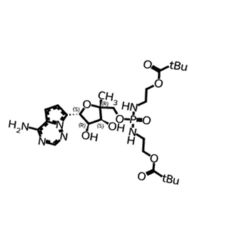 CC(C)(C)C(=O)OCCNP(=O)(NCCOC(=O)C(C)(C)C)OC[C@@]1(C)O[C@@H](c2ccc3c(N)ncnn23)[C@H](O)[C@@H]1O